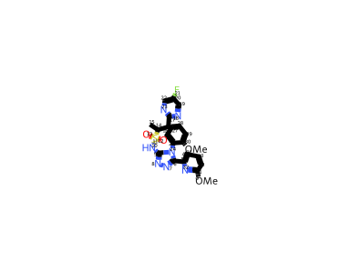 COc1cccc(-c2nnc(NS(=O)(=O)C(C)Cc3ncc(F)cn3)n2-c2ccccc2OC)n1